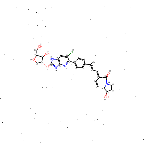 C=C/C(=C\C=C(/C)c1ccc(-c2nc3nc(O[C@@H]4CO[C@H](CO)[C@H]4O)[nH]c3cc2Cl)cc1)C(=O)N1CC[C@@H](O)C1